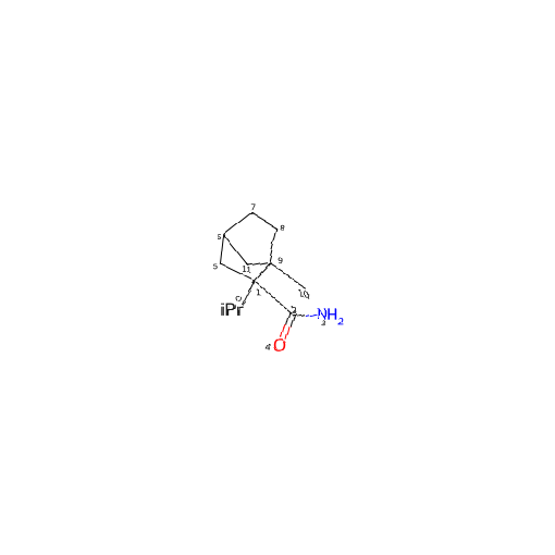 CC(C)C1(C(N)=O)CC2CCC1(C)C2